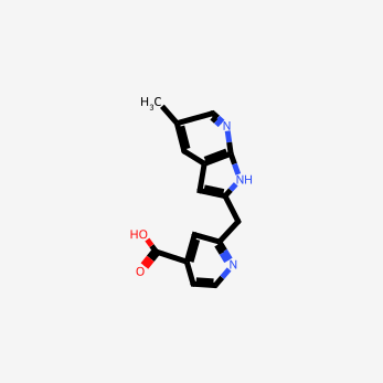 Cc1cnc2[nH]c(Cc3cc(C(=O)O)ccn3)cc2c1